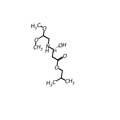 COC(CN[C@H](O)CC(=O)OCC(C)C)OC